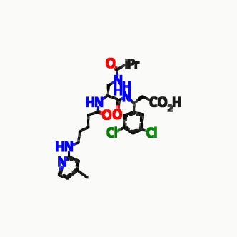 Cc1ccnc(NCCCCC(=O)N[C@@H](CNC(=O)C(C)C)C(=O)N[C@@H](CC(=O)O)c2cc(Cl)cc(Cl)c2)c1